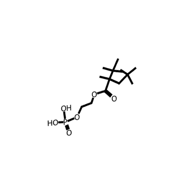 CC(C)(C)CC(C)(C(=O)OCCOP(=O)(O)O)C(C)(C)C